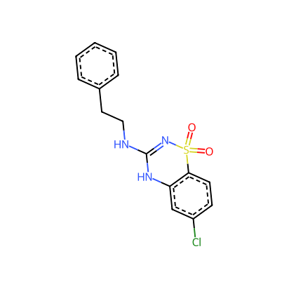 O=S1(=O)N=C(NCCc2ccccc2)Nc2cc(Cl)ccc21